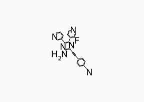 N#Cc1ccc(C#Cc2nc(-c3ccncc3F)c(-c3cccnc3)nc2N)cc1